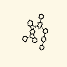 c1ccc(-c2ccc(-c3cccc(-c4nc(-c5ccccc5)nc(-n5c6ccccc6c6cc7c(cc65)c5ccccc5n7-c5ccccc5)n4)c3)cc2)cc1